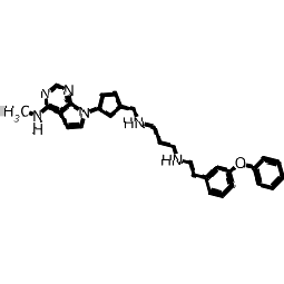 CNc1ncnc2c1ccn2C1CCC(CNCCCNCCc2cccc(Oc3ccccc3)c2)C1